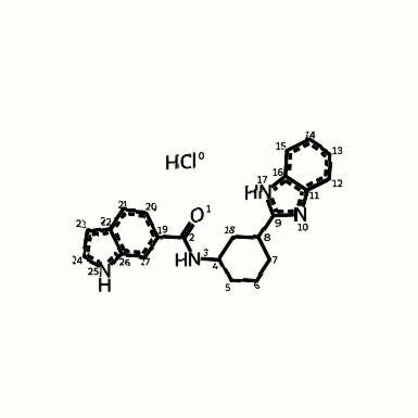 Cl.O=C(NC1CCCC(c2nc3ccccc3[nH]2)C1)c1ccc2cc[nH]c2c1